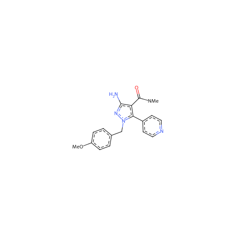 CNC(=O)c1c(N)nn(Cc2ccc(OC)cc2)c1-c1ccncc1